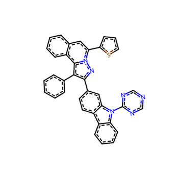 c1ccc(-c2c(-c3ccc4c5ccccc5n(-c5ncncn5)c4c3)nn3c(-c4cccs4)cc4ccccc4c23)cc1